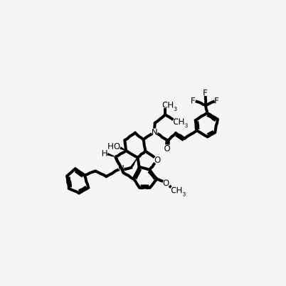 COc1ccc2c3c1OC1C(N(CC(C)C)C(=O)/C=C/c4cccc(C(F)(F)F)c4)CC[C@@]4(O)[C@@H](C2)N(CCc2ccccc2)CC[C@]314